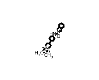 CC(C)S(=O)(=O)N1CC=C(c2ccc(NC(=O)N3Cc4ccccc4C3)cc2)CC1